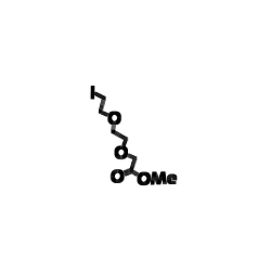 COC(=O)COCCOCCI